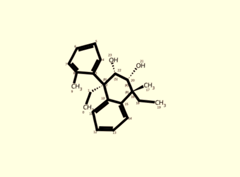 CC[C@@]1(c2ccccc2C)c2ccccc2[C@@](C)(CC)[C@@H](O)[C@H]1O